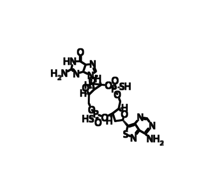 CO[C@H]1[C@H]2O[P@](=O)(S)OC[C@H]3O[C@@H](c4snc5c(N)ncnc45)C[C@@H]3O[P@](=O)(S)OC[C@H]1O[C@H]2N1C=NC2C(=O)NC(N)=NC21